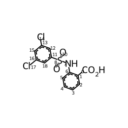 O=C(O)c1ccccc1NS(=O)(=O)c1cc(Cl)cc(Cl)c1